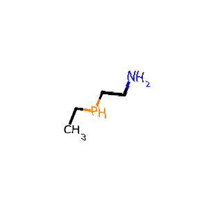 CCPCCN